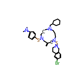 C=C1CN(Sc2ccc(N(C)C)cc2)CCCN(CC2CCCCC2)CCCN(SN2CCc3cc(Br)ccc3C2)C1